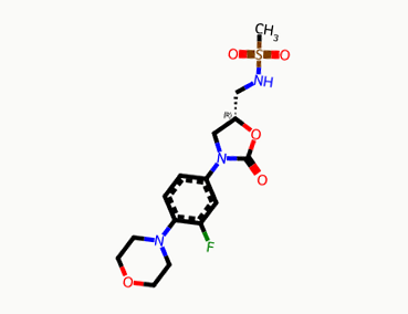 CS(=O)(=O)NC[C@H]1CN(c2ccc(N3CCOCC3)c(F)c2)C(=O)O1